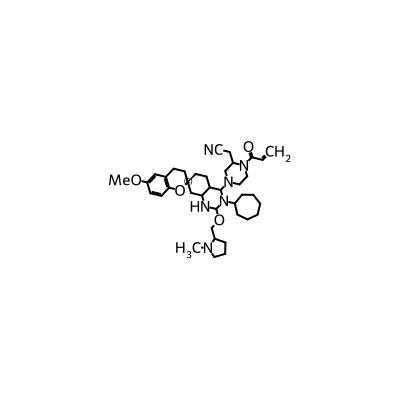 C=CC(=O)N1CCN(C2C3CC[C@@]4(CCc5cc(OC)ccc5O4)CC3NC(OCC3CCCN3C)N2C2CCCCCC2)CC1CC#N